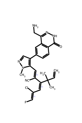 C=CC(C)(C)C(=C/C(Cl)=C/F)/C(C#N)=C/c1c(-c2ccc3c(=O)[nH]nc(CN)c3c2)cnn1C